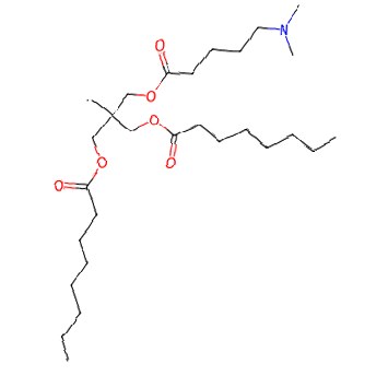 [CH2]C(COC(=O)CCCCCCC)(COC(=O)CCCCCCC)COC(=O)CCCCN(C)C